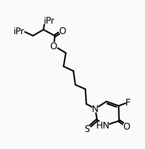 CC(C)CC(C(=O)OCCCCCCn1cc(F)c(=O)[nH]c1=S)C(C)C